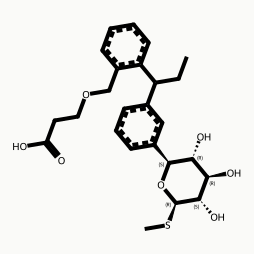 CCC(c1cccc([C@@H]2O[C@H](SC)[C@@H](O)[C@H](O)[C@H]2O)c1)c1ccccc1COCCC(=O)O